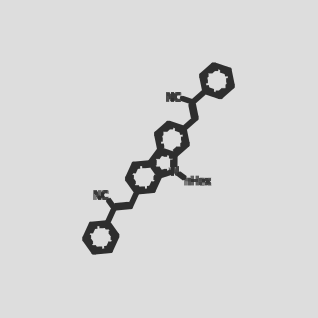 CCCCCCn1c2cc(/C=C(\C#N)c3ccccc3)ccc2c2ccc(/C=C(\C#N)c3ccccc3)cc21